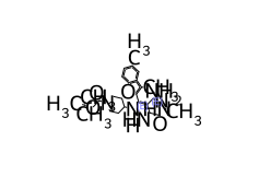 CN/N=C(N)\C(C(=N)C=O)=C(\NC1CCN(C(=O)OC(C)(C)C)CC1)c1oc2ccc(C)cc2c1C